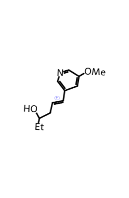 CCC(O)C/C=C/c1cncc(OC)c1